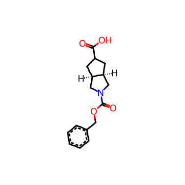 O=C(O)C1C[C@@H]2CN(C(=O)OCc3ccccc3)C[C@@H]2C1